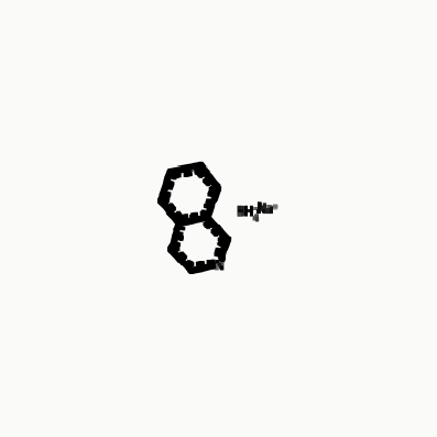 [BH4-].[Na+].c1ccc2cnccc2c1